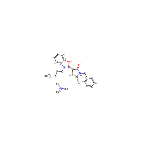 CCN(CC)CC.O=C1C(=C2Oc3ccccc3N2CCCS(=O)(=O)O)SC(=S)N1Cc1ccccc1